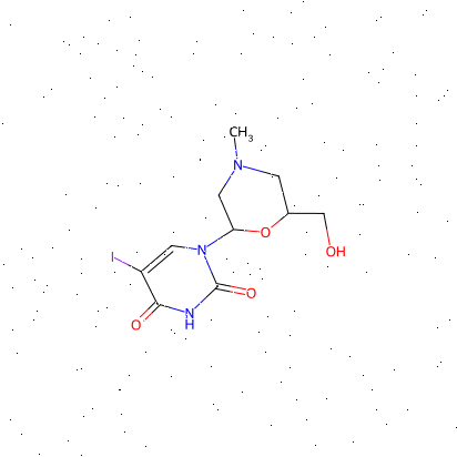 CN1CC(CO)OC(n2cc(I)c(=O)[nH]c2=O)C1